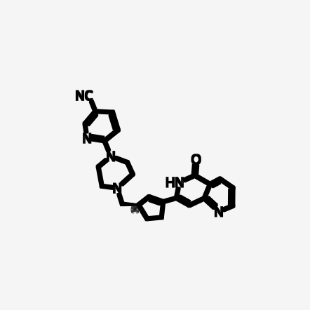 N#Cc1ccc(N2CCN(C[C@H]3C=C(c4cc5ncccc5c(=O)[nH]4)CC3)CC2)nc1